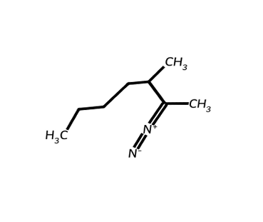 CCCCC(C)C(C)=[N+]=[N-]